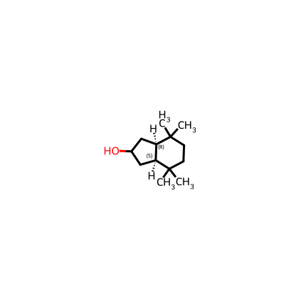 CC1(C)CCC(C)(C)[C@H]2CC(O)C[C@H]21